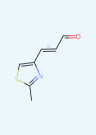 Cc1nc(/C=C/C=O)cs1